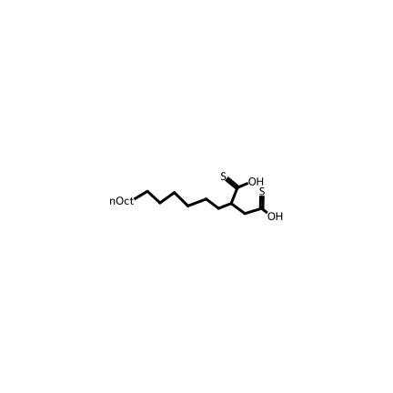 CCCCCCCCCCCCCCC(CC(O)=S)C(O)=S